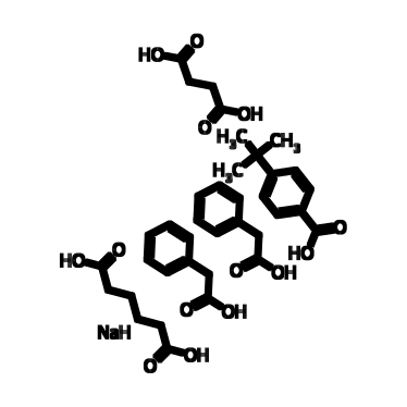 CC(C)(C)c1ccc(C(=O)O)cc1.O=C(O)CCC(=O)O.O=C(O)CCCCC(=O)O.O=C(O)Cc1ccccc1.O=C(O)Cc1ccccc1.[NaH]